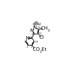 CCOC(=O)c1ccnc(-c2nn(C(C)CC)c(C)c2Cl)c1